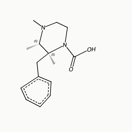 C[C@@H]1N(C)CCN(C(=O)O)[C@@]1(C)Cc1ccccc1